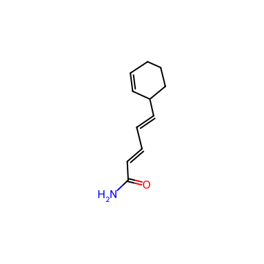 NC(=O)C=CC=CC1C=CCCC1